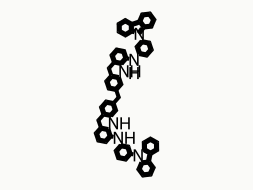 c1cc(Nc2cccc3c2Nc2cc(Cc4ccc5c(c4)Nc4c(cccc4Nc4cccc(-n6c7ccccc7c7ccccc76)c4)C5)ccc2C3)cc(-n2c3ccccc3c3ccccc32)c1